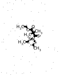 CCOC(=O)C(C)(C)C(=S)N(SCC)SCC